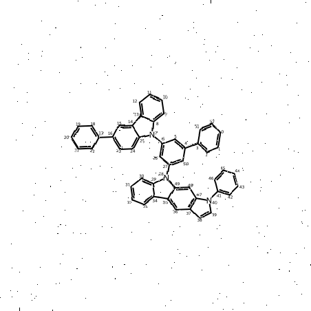 c1ccc(-c2cc(-n3c4ccccc4c4cc(-c5ccccc5)ccc43)cc(-n3c4ccccc4c4cc5ccn(-c6ccccc6)c5cc43)c2)cc1